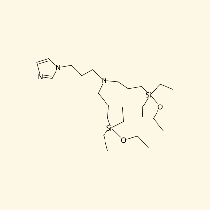 CCO[Si](CC)(CC)CCCN(CCCn1ccnc1)CCC[Si](CC)(CC)OCC